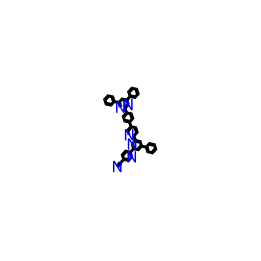 N#Cc1ccc(-c2cc(-c3ccccc3)cc(-c3ccc(-c4ccc(-c5nc(-c6ccccc6)cc(-c6ccccc6)n5)cc4)cn3)n2)nc1